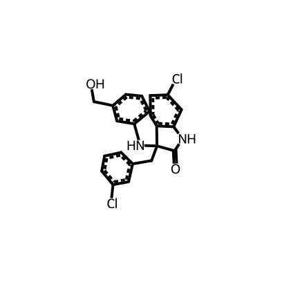 O=C1Nc2cc(Cl)ccc2C1(Cc1cccc(Cl)c1)Nc1cccc(CO)c1